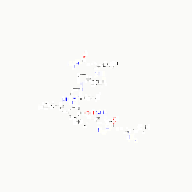 CC(C)C[C@H](N)C(=O)O.NC(=O)CC[C@H](N)C(=O)O.NC(=O)CC[C@H](N)C(=O)O.N[C@@H](Cc1ccc(O)cc1)C(=O)O.O=C(O)[C@@H]1CCCN1.O=C(O)[C@@H]1CCCN1